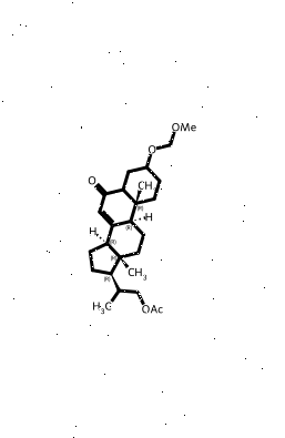 COCOC1CC[C@@]2(C)C(C1)C(=O)C=C1[C@@H]3CC[C@H](C(C)COC(C)=O)[C@@]3(C)CC[C@@H]12